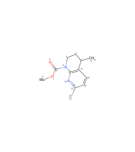 CC1CCN(C(=O)OC(C)(C)C)c2nc(Cl)ccc21